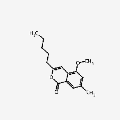 CCCCCc1cc2c(OC)cc(C)cc2c(=O)o1